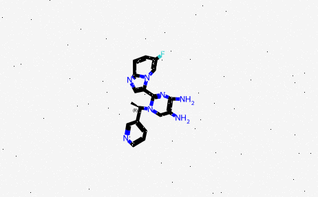 C[C@H](c1cccnc1)N1CC(N)=C(N)N=C1c1cnc2ccc(F)cn12